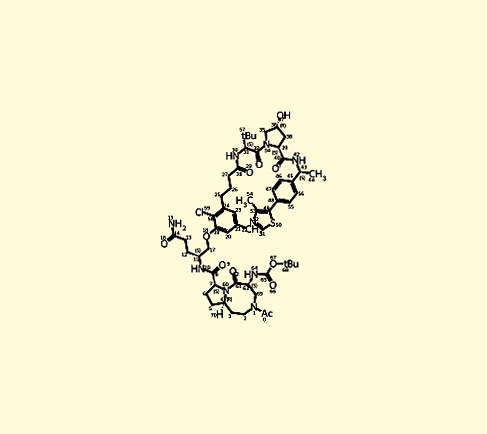 CC(=O)N1CC[C@H]2CC[C@@H](C(=O)N[C@@H](CCC(N)=O)COc3cc(C)cc(CCCC(=O)N[C@H](C(=O)N4C[C@H](O)C[C@H]4C(=O)N[C@@H](C)c4ccc(-c5scnc5C)cc4)C(C)(C)C)c3Cl)N2C(=O)[C@@H](NC(=O)OC(C)(C)C)C1